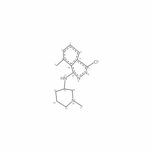 Cc1cccc2c(Cl)nnc(NC3CCCN(C)C3)c12